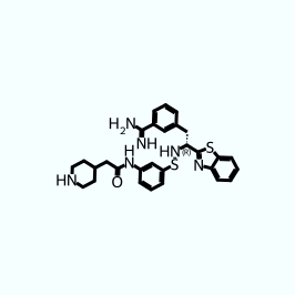 N=C(N)c1cccc(C[C@@H](NSc2cccc(NC(=O)CC3CCNCC3)c2)c2nc3ccccc3s2)c1